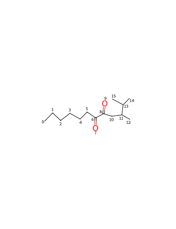 CCCCCCC(=O)C(=O)CC(C)C(C)C